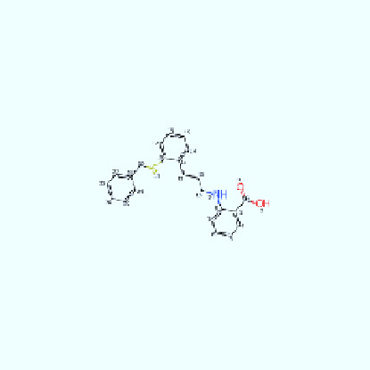 O=C(O)c1ccccc1NCCCc1ccccc1SCc1ccccc1